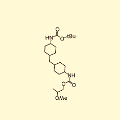 COC(C)COC(=O)NC1CCC(CC2CCC(NC(=O)OC(C)(C)C)CC2)CC1